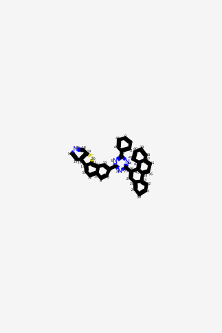 c1ccc(-c2nc(-c3ccc4ccc5c6ccncc6sc5c4c3)nc(-c3cc4ccccc4c4ccc5ccccc5c34)n2)cc1